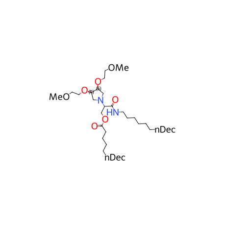 CCCCCCCCCCCCCCCCNC(=O)C(COC(=O)CCCCCCCCCCCCCC)N1C[C@H](OCCOC)[C@H](OCCOC)C1